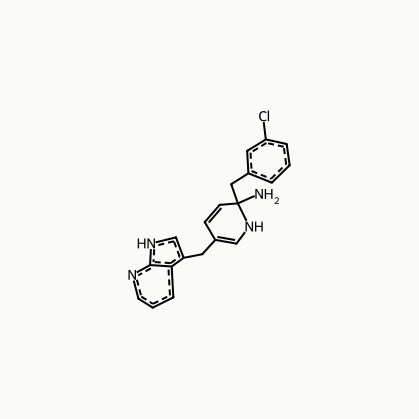 NC1(Cc2cccc(Cl)c2)C=CC(Cc2c[nH]c3ncccc23)=CN1